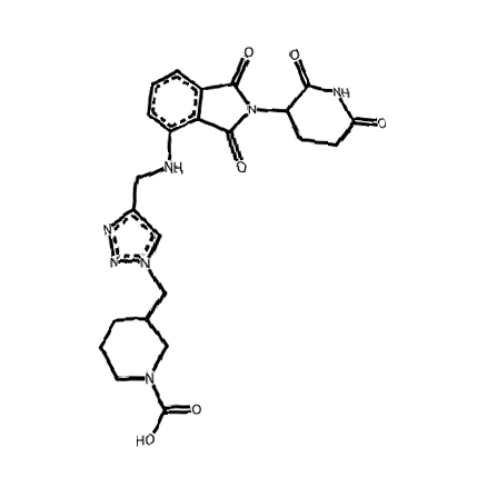 O=C1CCC(N2C(=O)c3cccc(NCc4cn(CC5CCCN(C(=O)O)C5)nn4)c3C2=O)C(=O)N1